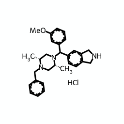 COc1cccc(C(c2ccc3c(c2)CNC3)N2C[C@@H](C)N(Cc3ccccc3)C[C@H]2C)c1.Cl